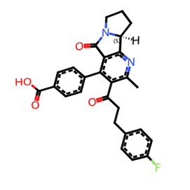 Cc1nc2c(c(-c3ccc(C(=O)O)cc3)c1C(=O)CCc1ccc(F)cc1)C(=O)N1CCC[C@@H]21